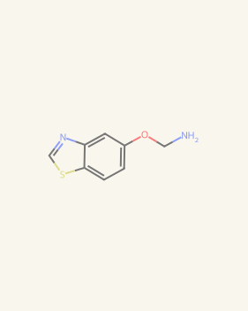 NCOc1ccc2scnc2c1